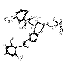 C/C(=C\c1ccc2c(c1)N(S(=O)(=O)c1cccc(C(F)(F)F)c1)[C@H](C)[C@H](COS(C)(=O)=O)C2)c1c(F)cccc1Cl